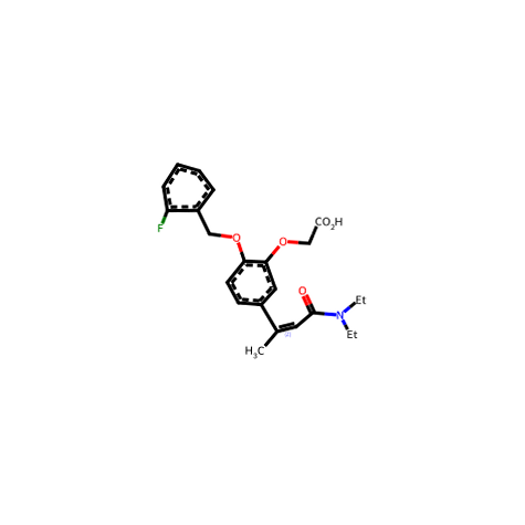 CCN(CC)C(=O)/C=C(/C)c1ccc(OCc2ccccc2F)c(OCC(=O)O)c1